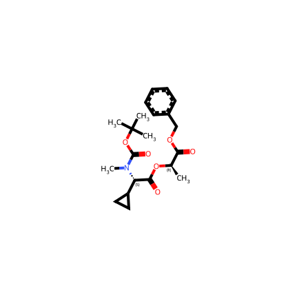 C[C@@H](OC(=O)[C@H](C1CC1)N(C)C(=O)OC(C)(C)C)C(=O)OCc1ccccc1